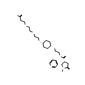 CN1C(=O)C[C@H](C(=O)NCCO[C@H]2CC[C@H](OCCOCCOCCC(=O)O)CC2)[C@H]1c1cccnc1